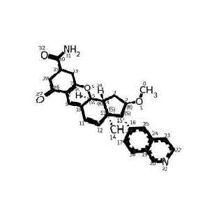 CO[C@@H]1C[C@H]2[C@@H]3OC4=C(C=C3C=C[C@]2(C)[C@H]1c1ccc2cnccc2c1)C(=O)CC(C(N)=O)C4